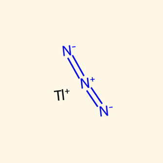 [N-]=[N+]=[N-].[Tl+]